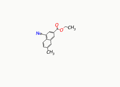 CCOC(=O)c1cc(C#N)c2ccc(C)cc2c1